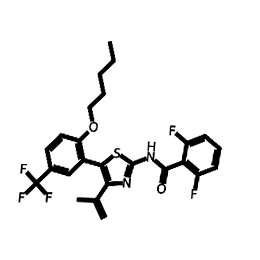 C=C(C)c1nc(NC(=O)c2c(F)cccc2F)sc1-c1cc(C(F)(F)F)ccc1OCCCCC